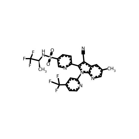 Cc1cnc2c(c1)c(C#N)c(-c1ccc(S(=O)(=O)N[C@@H](C)C(F)(F)F)cn1)n2-c1cc(C(F)(F)F)ccn1